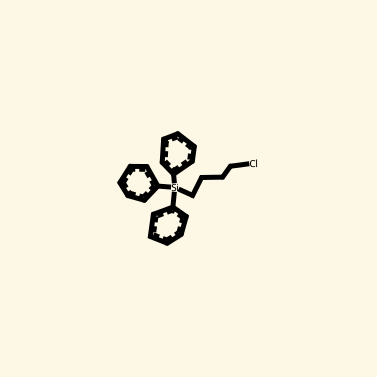 ClCCCC[Si](c1ccccc1)(c1ccccc1)c1ccccc1